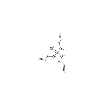 C=CC[O][Zr]([Cl])([O]CC=C)[O]CC=C